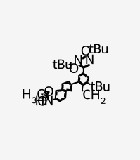 C=Cc1c(-c2ccc3cc(NS(C)(=O)=O)ccc3c2)cc(-c2cnc(OC(C)(C)C)nc2OC(C)(C)C)cc1C(C)(C)C